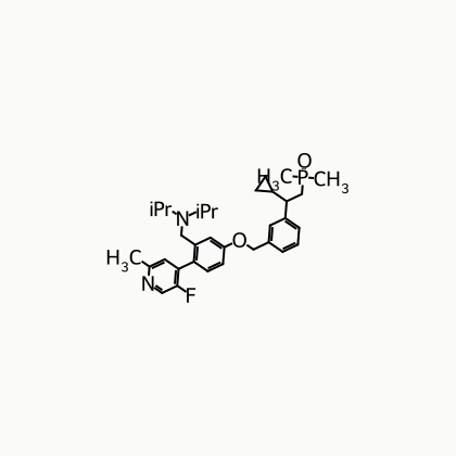 Cc1cc(-c2ccc(OCc3cccc(C(CP(C)(C)=O)C4CC4)c3)cc2CN(C(C)C)C(C)C)c(F)cn1